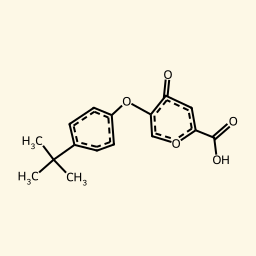 CC(C)(C)c1ccc(Oc2coc(C(=O)O)cc2=O)cc1